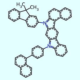 CC1(C)c2ccccc2-c2ccc(-n3c4cc5c(cc4c4c6ccccc6ccc43)c3ccccc3n5-c3ccc(-c4cccc5ccccc45)cc3)cc21